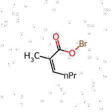 CCCC=C(C)C(=O)OBr